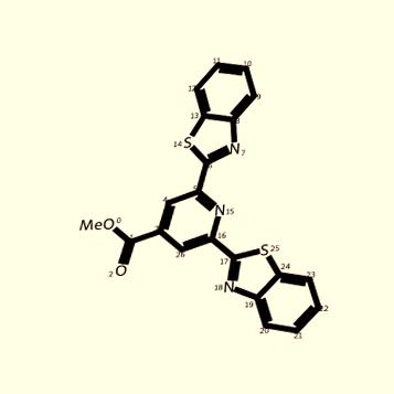 COC(=O)c1cc(-c2nc3ccccc3s2)nc(-c2nc3ccccc3s2)c1